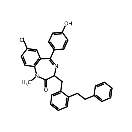 CN1C(=O)C(Cc2ccccc2CCc2ccccc2)N=C(c2ccc(O)cc2)c2cc(Cl)ccc21